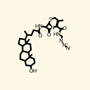 CC1=C(C(=O)NCN=[N+]=[N-])N2C(=O)C(NC(=O)CCC(C)C3CCC4C5CCC6CC(O)CCC6(C)C5CCC34C)C2SC1